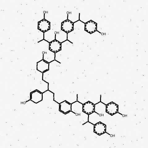 CC(C1=CC(CCC(CCC2=CC(C(C)c3cc(C(C)c4ccc(O)cc4)c(O)c(C(C)c4ccc(O)c(C(C)c5ccc(O)cc5)c4)c3)=C(O)CC2)C2=C=C=C(O)CC2)=C=C=C1O)c1cc(C(C)c2ccc(O)cc2)c(O)c(C(C)c2ccc(O)cc2)c1